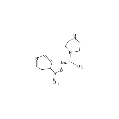 C=C(O/N=C(\C)N1CCNCC1)C1C=CN=CC1